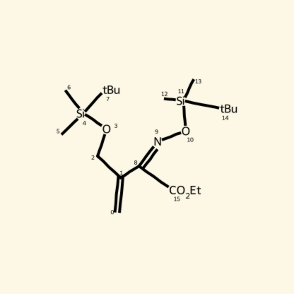 C=C(CO[Si](C)(C)C(C)(C)C)C(=NO[Si](C)(C)C(C)(C)C)C(=O)OCC